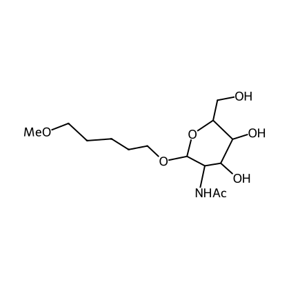 COCCCCCOC1OC(CO)C(O)C(O)C1NC(C)=O